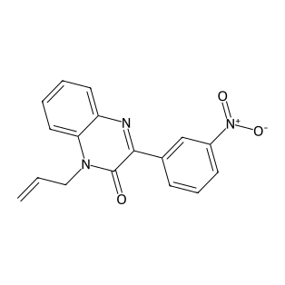 C=CCn1c(=O)c(-c2cccc([N+](=O)[O-])c2)nc2ccccc21